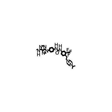 CNc1ncnc2c1ncn2-c1ccc(NC(=O)Nc2ccc(CCN3CCN(C(C)C)CC3)c(C(F)(F)F)c2)cc1